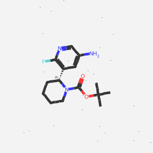 CC(C)(C)OC(=O)N1CCCC[C@@H]1c1cc(N)cnc1F